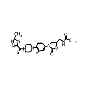 CC(=O)NCC1CN(c2ccc(N3CCN(C(=S)c4nnc(C)o4)CC3)c(F)c2)C(=O)O1